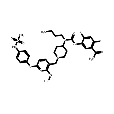 CCCCN(C(=O)Nc1cc(C(N)=O)c(F)cc1F)C1CCN(Cc2ccc(Oc3ccc(NS(C)(=O)=O)cc3)nc2OC)CC1